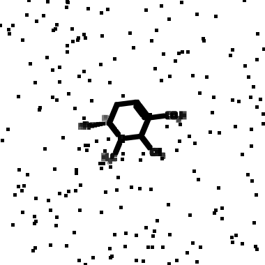 CCC[C@@H]1CC=C(C(=O)O)C(C)N1C